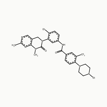 CCc1ccc(NC(=O)c2ccc(N3CCN(CC)CC3)c(C(F)(F)F)c2)cc1N1Cc2cnc(N)nc2N(C)C1=O